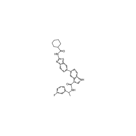 CC(NC(=O)c1c[nH]c2ccc(-c3ccc4nc(NC(=O)C5CCCCC5)sc4c3)cc12)c1cccc(F)c1